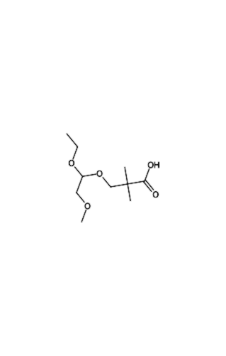 CCOC(COC)OCC(C)(C)C(=O)O